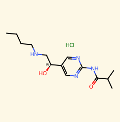 CCCCNC[C@H](O)c1cnc(NC(=O)C(C)C)nc1.Cl